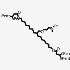 CCCCCC(CCCCC)CC(=O)OCCCCCCCCC(CCCCCCCCOC(=O)CC(CCCCC)CCCCC)COCCCN(C)C(C)C